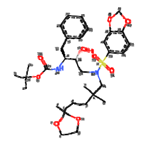 CC(C)(CCC1(C)OCCO1)CN(C[C@@H](O)[C@H](Cc1ccccc1)NC(=O)OC(C)(C)C)S(=O)(=O)c1ccc2c(c1)OCO2